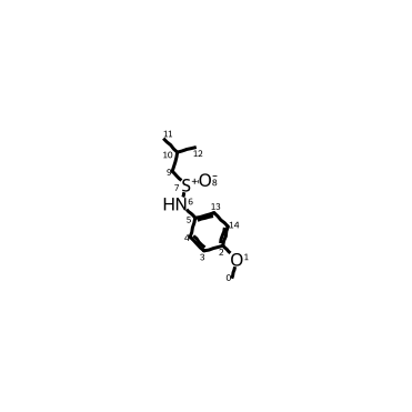 COc1ccc(N[S+]([O-])CC(C)C)cc1